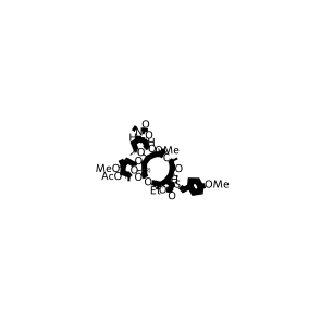 CC[C@H]1OC(=O)[C@H](C)[C@@H](O[C@H]2C[C@@](C)(OC)[C@@H](OC(C)=O)[C@H](C)O2)[C@H](C)[C@@H](O[C@@H]2O[C@H](C)C[C@H]3[C@H]2OC(=O)N3C)[C@](C)(OC)C[C@@H](C)C(=O)[C@H](C)[C@H]2C(SCc3ccc(OC)cc3)C(=O)O[C@@]21C